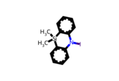 C[Si]1(C)c2ccccc2N(I)c2ccccc21